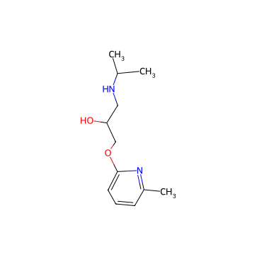 Cc1cccc(OCC(O)CNC(C)C)n1